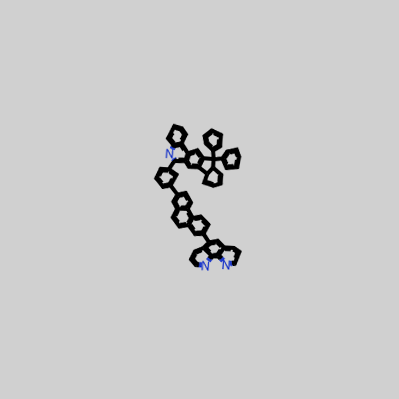 C1=CC2c3cc4c(-c5cccc(-c6ccc7c(ccc8cc(-c9cc%10cccnc%10c%10ncccc9%10)ccc87)c6)c5)nc5ccccc5c4cc3C(c3ccccc3)(c3ccccc3)C2C=C1